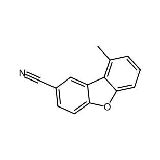 Cc1cccc2oc3ccc(C#N)cc3c12